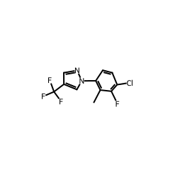 Cc1c(-n2cc(C(F)(F)F)cn2)ccc(Cl)c1F